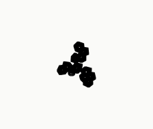 c1ccc2c(c1)ccc1c2oc2cc(-c3ccc4ccc5cccc6ccc3c4c56)cc(-c3cccc4c3ccc3ccc5ccccc5c34)c21